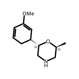 COC1=CC([C@H]2CNC[C@H](C)O2)CC=C1